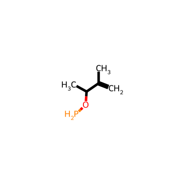 C=C(C)C(C)OP